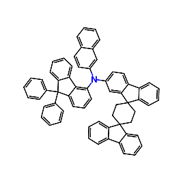 c1ccc(C2(c3ccccc3)c3ccccc3-c3c(N(c4ccc5c(c4)C4(CCC6(CC4)c4ccccc4-c4ccccc46)c4ccccc4-5)c4ccc5ccccc5c4)cccc32)cc1